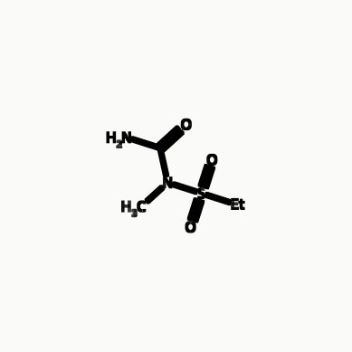 CCS(=O)(=O)N(C)C(N)=O